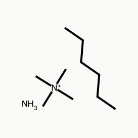 CCCCCC.C[N+](C)(C)C.N